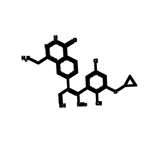 CN/C(=C(\C=N)c1ccc2c(=O)[nH]nc(CN)c2c1)c1cc(Cl)cc(OC2CC2)c1C#N